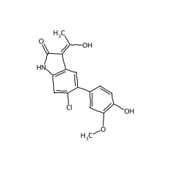 COc1cc(-c2cc3c(cc2Cl)NC(=O)/C3=C(\C)O)ccc1O